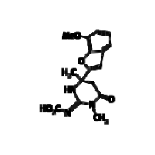 COc1cccc2cc(C3(C)CC(=O)N(C)C(=NC(=O)O)N3)oc12